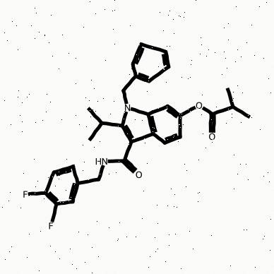 CC(C)C(=O)Oc1ccc2c(C(=O)NCc3ccc(F)c(F)c3)c(C(C)C)n(Cc3ccccc3)c2c1